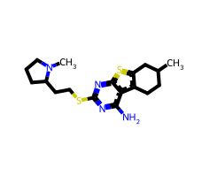 CC1CCc2c(sc3nc(SCCC4CCCN4C)nc(N)c23)C1